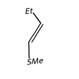 [CH2]SC=CCC